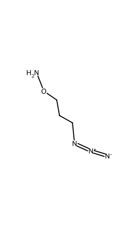 [N-]=[N+]=NCCCON